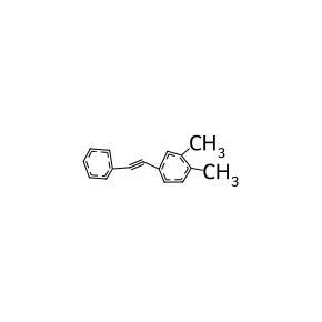 Cc1ccc(C#Cc2ccccc2)cc1C